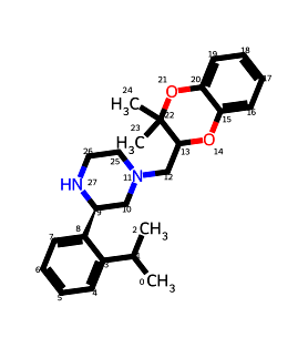 CC(C)c1ccccc1[C@@H]1CN(CC2Oc3ccccc3OC2(C)C)CCN1